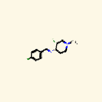 CN1CC[C@H](NCc2ccc(F)cc2)[C@H](F)C1